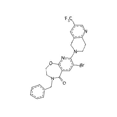 O=C1c2cc(Br)c(N3CCc4ncc(C(F)(F)F)cc4C3)nc2OCCN1Cc1ccccc1